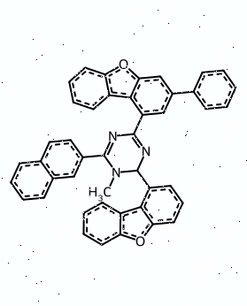 CN1C(c2ccc3ccccc3c2)=NC(c2cc(-c3ccccc3)cc3oc4ccccc4c23)=NC1c1cccc2oc3ccccc3c12